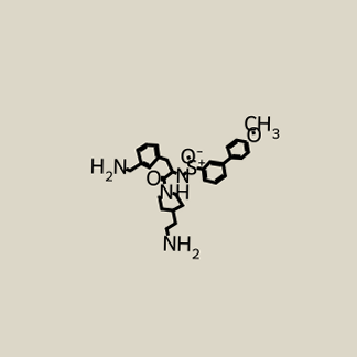 COc1ccc(-c2cccc([S+]([O-])NC(Cc3cccc(CN)c3)C(=O)N3CCC(CCN)CC3)c2)cc1